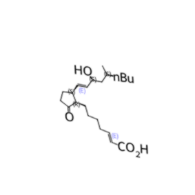 CCCC[C@H](C)C[C@H](O)/C=C/[C@@H]1CCC(=O)[C@@H]1CCCC/C=C/C(=O)O